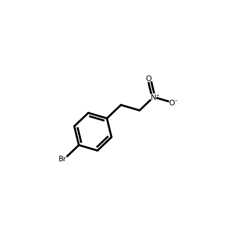 O=[N+]([O-])CCc1ccc(Br)cc1